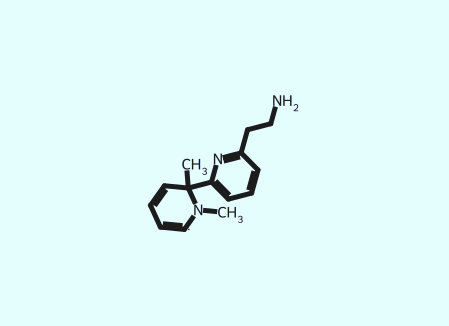 CN1[C]=CC=CC1(C)c1cccc(CCN)n1